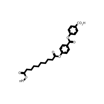 CCCOC(=O)CCCCCCCCC(=O)Oc1ccc(C(=O)Oc2ccc(C(=O)O)cc2)cc1